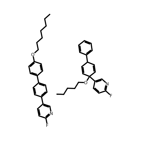 CCCCCCCOc1ccc(-c2ccc(-c3ccc(F)nc3)cc2)cc1.CCCCCOC1(c2ccc(F)nc2)C=CC(c2ccccc2)C=C1